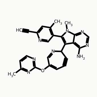 C#Cc1cc(C)c(-c2c(C3C#CC=C(Oc4nccc(C)n4)C=N3)c3c(N)ncnc3n2C)cn1